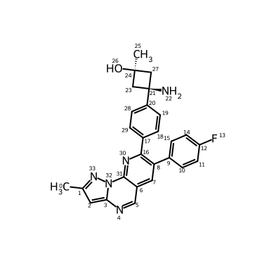 Cc1cc2ncc3cc(-c4ccc(F)cc4)c(-c4ccc([C@]5(N)C[C@@](C)(O)C5)cc4)nc3n2n1